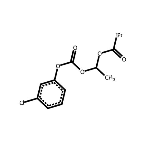 CC(OC(=O)Oc1cccc(Cl)c1)OC(=O)C(C)C